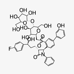 O=C1[C@H](CC[C@H](O)c2ccc(F)cc2)[C@@H](c2ccc(-c3cccc(O)c3)cc2S(=O)(=O)C[C@@H]2OC(CO)[C@@H](O[C@@H]3OC(CO)[C@@H](O)[C@H](O)C3O)[C@H](O)C2O)N1c1ccccc1